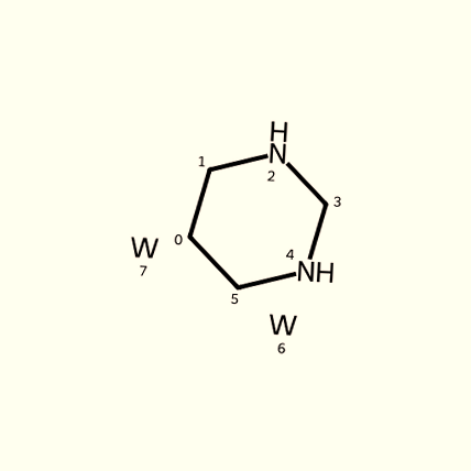 C1CNCNC1.[W].[W]